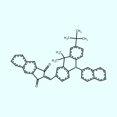 CC(C)(C)c1ccc2c(c1)C(C)(C)c1cc(C=C3C(=O)c4cc5ccccc5cc4C3=O)ccc1N2c1ccc2ccccc2c1